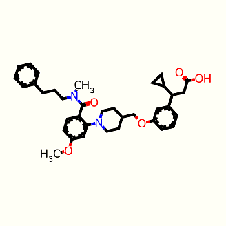 COc1ccc(C(=O)N(C)CCCc2ccccc2)c(N2CCC(COc3cccc(C(CC(=O)O)C4CC4)c3)CC2)c1